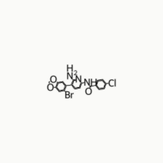 Nc1nc(NC(=O)c2ccc(Cl)cc2)ccc1-c1cc2c(cc1Br)OCO2